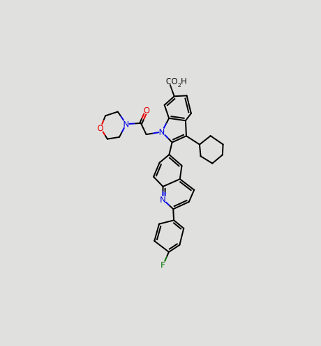 O=C(O)c1ccc2c(C3CCCCC3)c(-c3ccc4nc(-c5ccc(F)cc5)ccc4c3)n(CC(=O)N3CCOCC3)c2c1